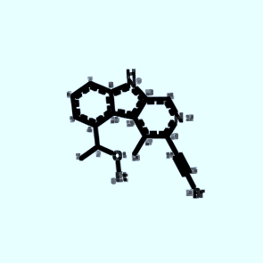 CCOC(C)c1cccc2[nH]c3cnc(C#CBr)c(C)c3c12